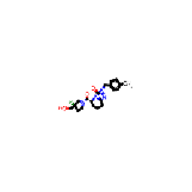 Cc1ccc(Cn2nc3n(c2=O)[C@H](C(=O)N2CCC(F)(CO)C2)CCC3)cc1